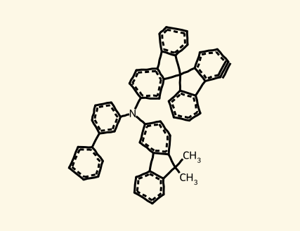 CC1(C)c2ccccc2-c2cc(N(c3cccc(-c4ccccc4)c3)c3ccc4c(c3)C3(c5ccc#cc5-c5ccccc53)c3ccccc3-4)ccc21